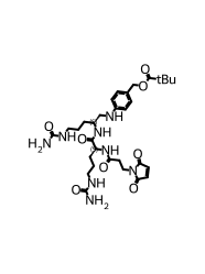 CC(C)(C)C(=O)OCc1ccc(NC[C@H](CCCNC(N)=O)NC(=O)[C@H](CCCNC(N)=O)NC(=O)CCN2C(=O)C=CC2=O)cc1